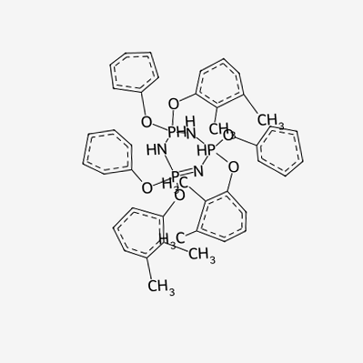 Cc1cccc(OP2(Oc3ccccc3)=N[PH](Oc3ccccc3)(Oc3cccc(C)c3C)N[PH](Oc3ccccc3)(Oc3cccc(C)c3C)N2)c1C